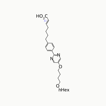 CCCCCCOCCCCOc1cnc(-c2ccc(CCCC/C=C/C(=O)O)cc2)nc1